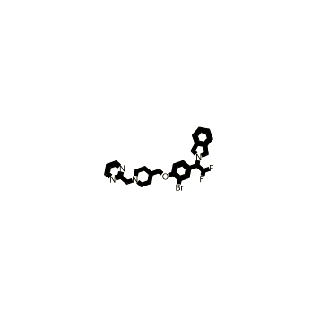 FC(F)C(c1ccc(OCC2CCN(Cc3ncccn3)CC2)c(Br)c1)N1Cc2ccccc2C1